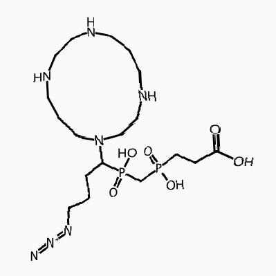 [N-]=[N+]=NCCCC(N1CCCNCCNCCCNCC1)P(=O)(O)CP(=O)(O)CCC(=O)O